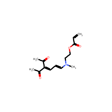 C=CC(=O)OCCN(C)/C=C/C=C(C(C)=O)C(C)=O